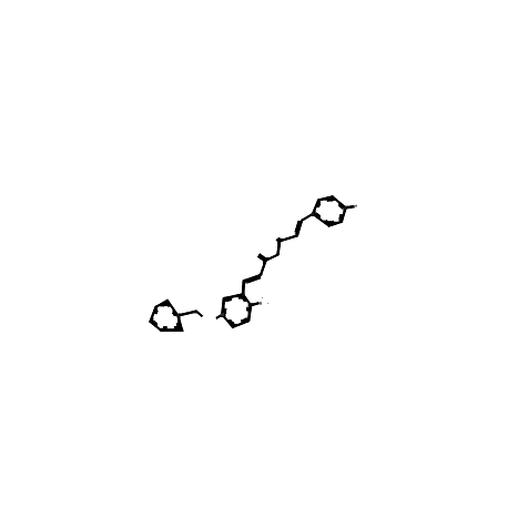 Nc1ccc(OCc2ccccc2)cc1C=CC(=O)CC(=O)C=Cc1ccc(O)cc1